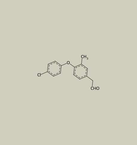 Cc1cc(CC=O)ccc1Oc1ccc(Cl)cc1